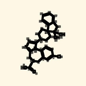 O=C(O)N1Cc2cc(Cl)ccc2-n2c(nnc2N2CCC3(CC2)c2ccccc2CS3(O)O)C1